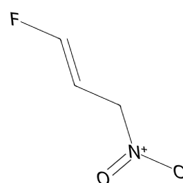 O=[N+]([O-])CC=CF